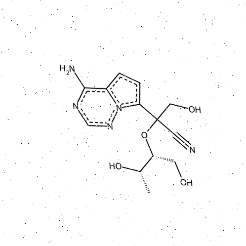 C[C@H](O)[C@@H](CO)OC(C#N)(CO)c1ccc2c(N)ncnn12